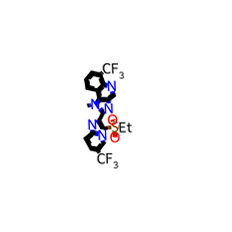 CCS(=O)(=O)c1c(-c2nc3cnc4c(C(F)(F)F)cccc4c3n2C)nc2ccc(C(F)(F)F)cn12